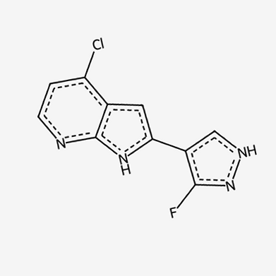 Fc1n[nH]cc1-c1cc2c(Cl)ccnc2[nH]1